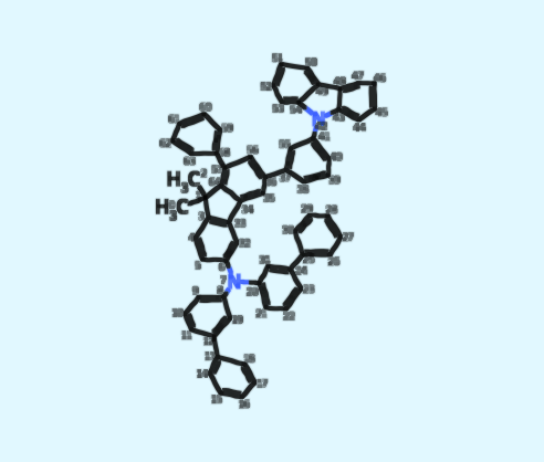 CC1(C)c2ccc(N(c3cccc(-c4ccccc4)c3)c3cccc(-c4ccccc4)c3)cc2-c2cc(-c3cccc(-n4c5ccccc5c5ccccc54)c3)cc(-c3ccccc3)c21